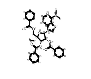 CC[C@]1(COC(=O)c2ccccc2)O[C@@H](n2cnc3c(N(C)C)ncnc32)[C@H](OC(=O)c2ccccc2)[C@@H]1OC(=O)c1ccccc1